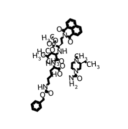 CC[C@H]1CN(C(N)=O)CCN1C.COP(=O)(OC)[C@@H](CCN1C(=O)c2cccc3cccc(c23)C1=O)NC(CC(C)C)C(=O)NC(CCCCNC(=O)OCc1ccccc1)C(=O)O